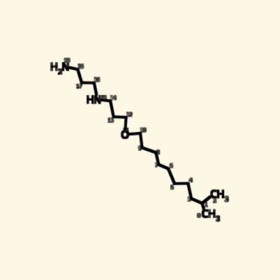 CC(C)CCCCCCCCOCCCNCCCN